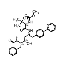 COC(=O)N[C@H](C(=O)NN(Cc1ccc(-c2ccccn2)cc1)C[C@H](O)[C@H](Cc1ccccc1)NC=O)C(C)(C)C